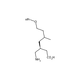 CCCOCCC(C)C[C@H](CN)CC(=O)O